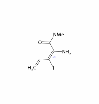 C=C/C(I)=C(/N)C(=O)NC